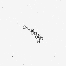 O=C(CCCCC1CCCCC1)Oc1ccc(C=C2SC(=O)NC2=O)cc1